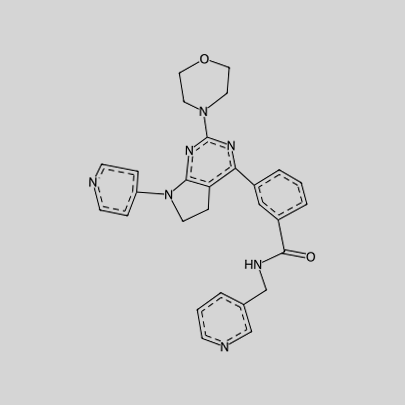 O=C(NCc1cccnc1)c1cccc(-c2nc(N3CCOCC3)nc3c2CCN3c2ccncc2)c1